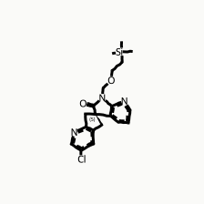 C[Si](C)(C)CCOCN1C(=O)[C@]2(Cc3cc(Cl)cnc3C2)c2cccnc21